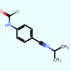 CC(C)[N+]#Cc1ccc(NC(=O)Cl)cc1